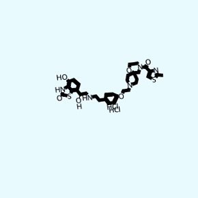 Cc1nc(C(=O)N2CCOC3(CCN(CCOc4ccc(CCNC[C@H](O)c5ccc(O)c6[nH]c(=O)sc56)cc4)CC3)C2)cs1.Cl.Cl